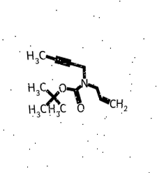 C=CCN(CC#CC)C(=O)OC(C)(C)C